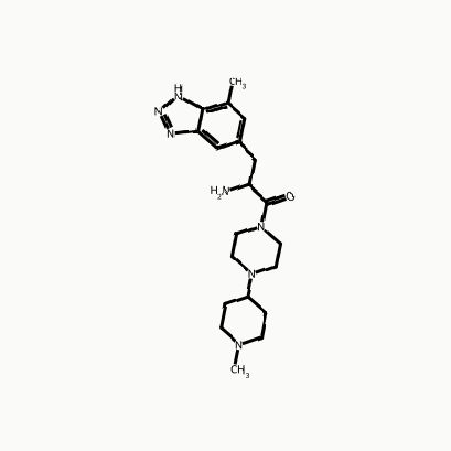 Cc1cc(CC(N)C(=O)N2CCN(C3CCN(C)CC3)CC2)cc2nn[nH]c12